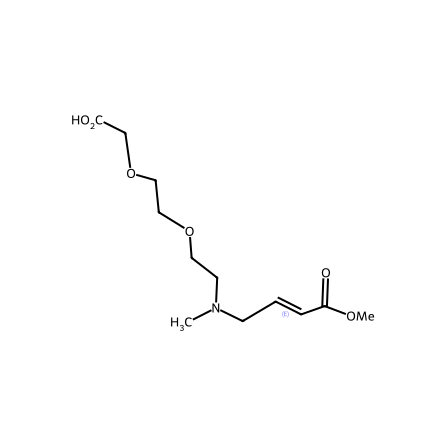 COC(=O)/C=C/CN(C)CCOCCOCC(=O)O